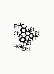 CCC(C)(C)c1cc(C(C)(C)CC)c(C(c2cc(C)c(C(C)(C)CC)cc2C(C)(C)CC)c2cccc(OP(O)O)c2C(C)(C)CC)cc1C